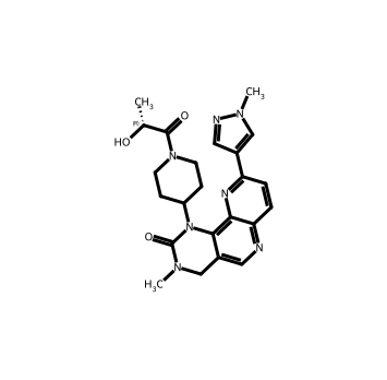 C[C@@H](O)C(=O)N1CCC(N2C(=O)N(C)Cc3cnc4ccc(-c5cnn(C)c5)nc4c32)CC1